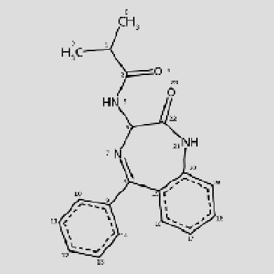 CC(C)C(=O)NC1N=C(c2ccccc2)c2ccccc2NC1=O